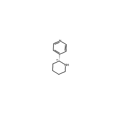 c1cc([C@H]2CCCCN2)ccn1